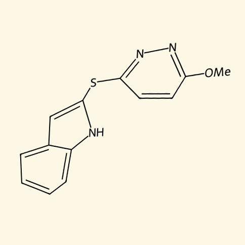 COc1ccc(Sc2cc3ccccc3[nH]2)nn1